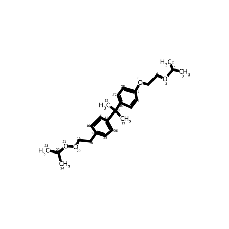 CC(C)OCCOc1ccc(C(C)(C)c2ccc(CCOOC(C)C)cc2)cc1